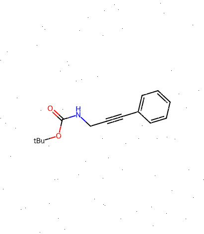 CC(C)(C)OC(=O)NCC#Cc1ccccc1